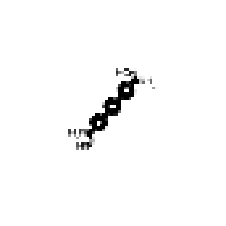 N/C(=N\O)c1ccc(-c2ccc(-c3ccc(/C(N)=N\O)cc3)cc2)cc1